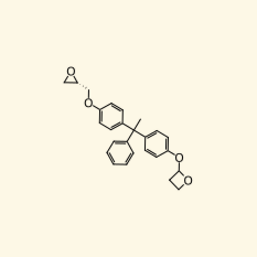 CC(c1ccccc1)(c1ccc(OC[C@@H]2CO2)cc1)c1ccc(OC2CCO2)cc1